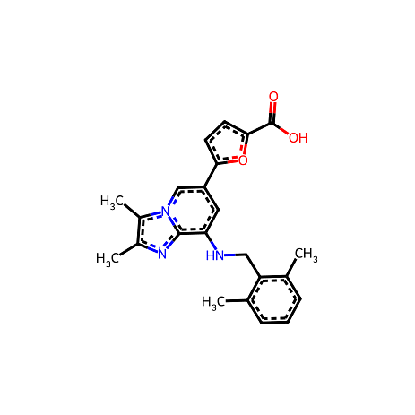 Cc1cccc(C)c1CNc1cc(-c2ccc(C(=O)O)o2)cn2c(C)c(C)nc12